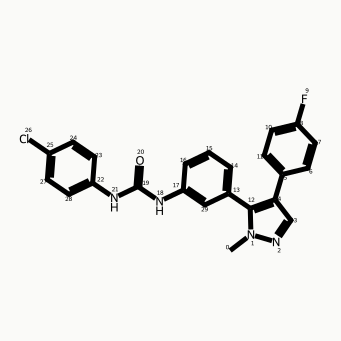 Cn1ncc(-c2ccc(F)cc2)c1-c1cccc(NC(=O)Nc2ccc(Cl)cc2)c1